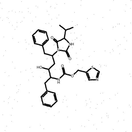 CC(C)C1NC(=O)N(C(Cc2ccccc2)CC(O)C(Cc2ccccc2)NC(=O)OCc2cncs2)C1=O